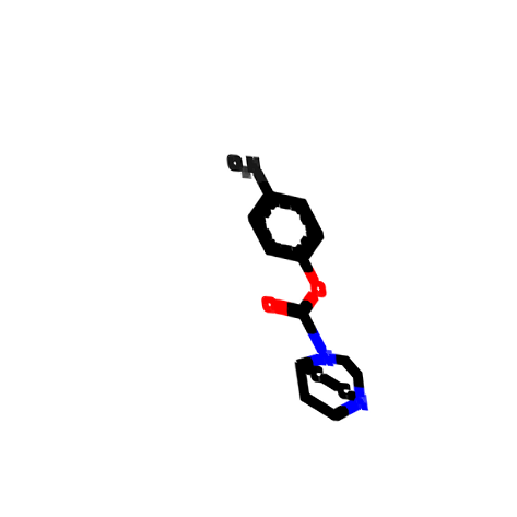 O=C(Oc1ccc([N+](=O)[O-])cc1)N1CCN2CCC1CC2